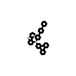 c1ccc(-c2ccc(-c3ccc(N(c4ccc5c6ccccc6c6ccccc6c5c4)c4cccc5oc6cccnc6c45)cc3)cc2)cc1